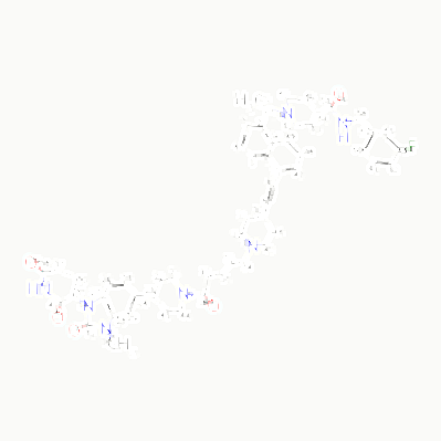 CC(c1cccc2c(C#CC3CCN(CCCCC(=O)N4CCC(c5ccc6c(c5)n(C)c(=O)n6C5CCC(=O)NC5=O)CC4)CC3)cccc12)N1CCC(C(=O)NCc2cccc(F)c2)CC1